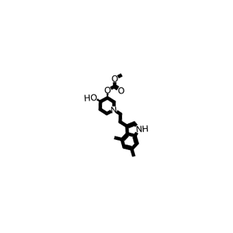 COC(=O)O[C@H]1CN(CCc2c[nH]c3cc(C)cc(C)c23)CC[C@H]1O